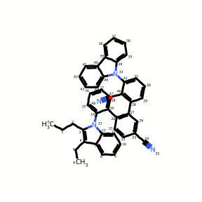 CCCc1c(CC)c2ccccc2n1-c1ccccc1-c1ccc(C#N)cc1-c1cccc(-n2c3ccccc3c3ccccc32)c1C#N